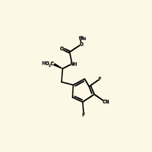 CC(C)(C)OC(=O)N[C@@H](Cc1cc(F)c(C#N)c(F)c1)C(=O)O